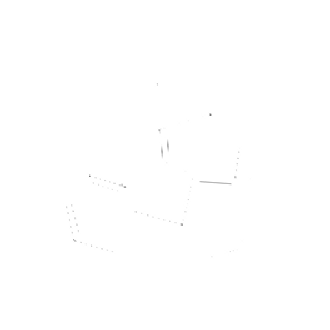 CC(C)=O.c1ccc2c(c1)-c1cccc3cccc-2c13